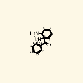 NC1C=CC=CC1(N)C(=O)c1ccccc1